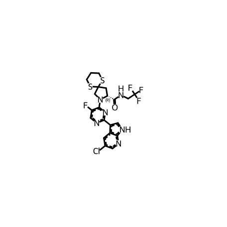 O=C(NCC(F)(F)F)[C@H]1CC2(CN1c1nc(-c3c[nH]c4ncc(Cl)cc34)ncc1F)SCCCS2